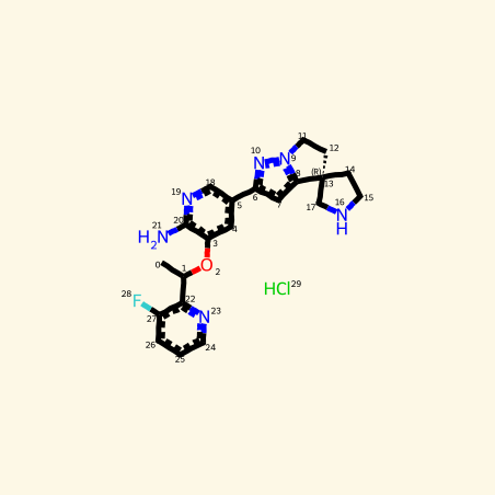 CC(Oc1cc(-c2cc3n(n2)CC[C@@]32CCNC2)cnc1N)c1ncccc1F.Cl